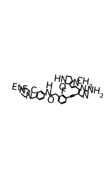 CCN1CCN(Cc2ccc(NC(=O)Cc3cccc(C#Cc4cnc(N)nc4-c4cc5c(n4C)CCNC5=O)c3F)cc2C(F)(F)F)CC1